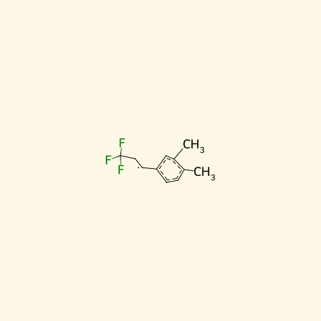 Cc1ccc([CH]CC(F)(F)F)cc1C